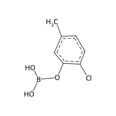 Cc1ccc(Cl)c(OB(O)O)c1